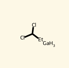 [CH2]CC(Cl)Cl.[GaH3]